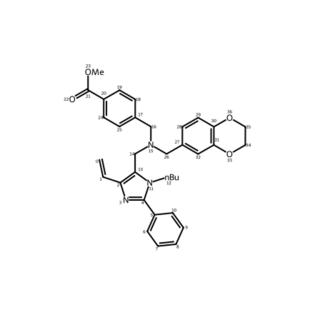 C=Cc1nc(-c2ccccc2)n(CCCC)c1CN(Cc1ccc(C(=O)OC)cc1)Cc1ccc2c(c1)OCCO2